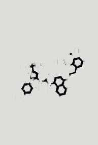 COc1cccc(CCOc2ccc(NC(=O)Nc3cc(C(C)(C)C)nn3-c3ccc(C)cc3)c3ccccc23)c1OC